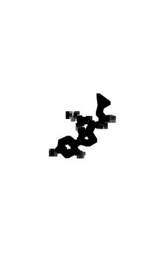 CCC(CC1CC1)Nc1nc(C)nc2c1CCN2c1ccc(C(C)C)cc1Br